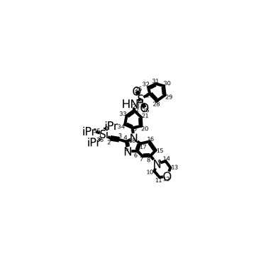 CC(C)[Si](C#Cc1nc2cc(N3CCOCC3)ccc2n1-c1ccc(NS(=O)(=O)c2ccccc2)cc1)(C(C)C)C(C)C